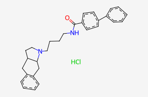 Cl.O=C(NCCCCN1CCC2Cc3ccccc3CC21)c1ccc(-c2ccccc2)cc1